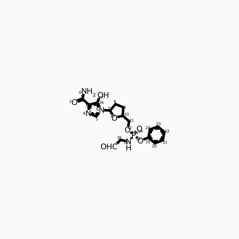 NC(=O)c1ncn(C2CCC(COP(=O)(NCC=O)Oc3ccccc3)O2)c1O